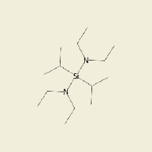 CCN(CC)[Si](C(C)C)(C(C)C)N(CC)CC